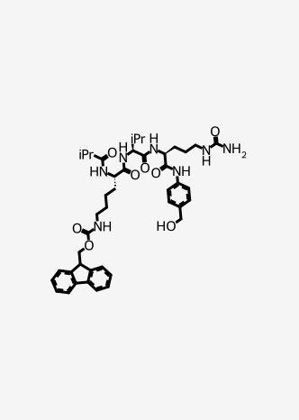 CC(C)C(=O)N[C@@H](CCCCNC(=O)OCC1c2ccccc2-c2ccccc21)C(=O)N[C@H](C(=O)N[C@@H](CCCNC(N)=O)C(=O)Nc1ccc(CO)cc1)C(C)C